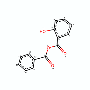 O=C(OC(=O)c1ccccc1O)c1ccccc1